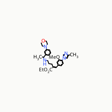 CCOC(=O)C(=Cc1ccc(-n2cnc(C)c2)c(OC)c1)CCCNC(C)c1cccc(N2CCOCC2)c1